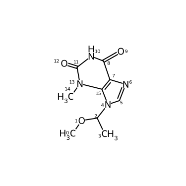 COC(C)n1cnc2c(=O)[nH]c(=O)n(C)c21